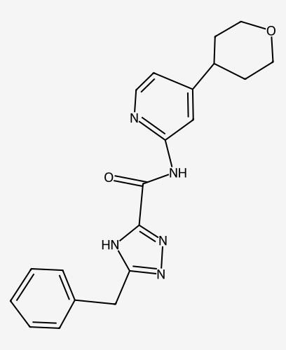 O=C(Nc1cc(C2CCOCC2)ccn1)c1nnc(Cc2ccccc2)[nH]1